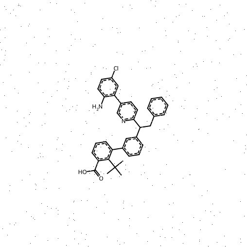 CC(C)(C)c1c(C(=O)O)cccc1-c1cccc(C(Cc2ccccc2)c2ccc(-c3cc(Cl)ccc3N)cn2)c1